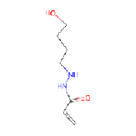 C=CC(=O)NNCCCCO